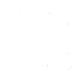 CCOc1c(CC)c(O)c2c(F)cccc2c1O